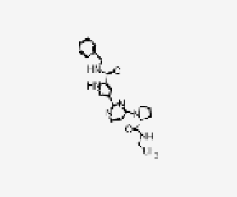 O=C(NCc1ccccc1)c1cc(-c2nccc(N3CCC[C@@H]3C(=O)NCC(F)(F)F)n2)c[nH]1